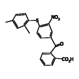 Cc1ccc(Sc2ccc(C(=O)c3ccccc3C(=O)O)cc2[N+](=O)[O-])c(C)c1